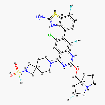 Nc1nc2c(-c3c(Cl)cc4c(N5CCC6(CC5)CN(S(=O)(=O)F)C6)nc(OC[C@@]56CCCN5C[C@H](F)C6)nc4c3F)ccc(F)c2s1